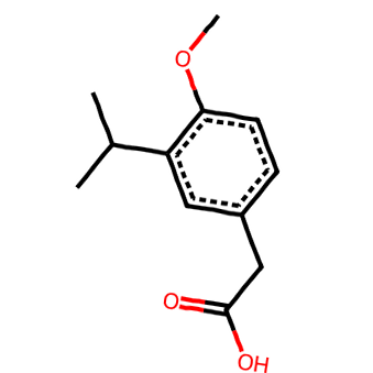 COc1ccc(CC(=O)O)cc1C(C)C